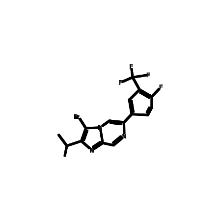 CC(C)c1nc2cnc(-c3ccc(F)c(C(F)(F)F)c3)cn2c1Br